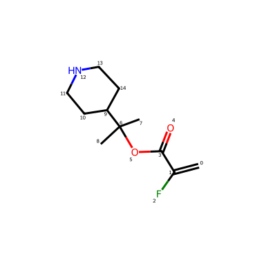 C=C(F)C(=O)OC(C)(C)C1CCNCC1